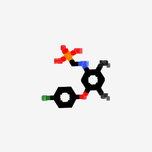 O=[N+]([O-])c1cc(C(F)(F)F)c(Oc2ccc(Cl)cc2)cc1NCP(=O)(O)O